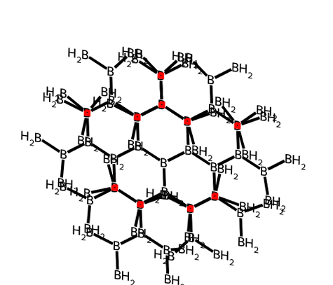 BB(B)B(B(B)B)B(B(B)B)B(B(B(B)B)B(B)B)B(B(B(B(B(B)B)B(B)B)B(B(B)B)B(B)B)B(B(B(B)B)B(B)B)B(B(B)B)B(B)B)B(B(B(B(B)B)B(B)B)B(B(B)B)B(B)B)B(B(B(B)B)B(B)B)B(B(B)B)B(B)B